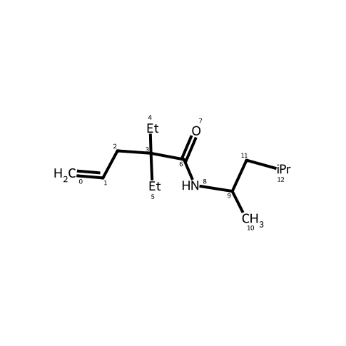 C=CCC(CC)(CC)C(=O)NC(C)CC(C)C